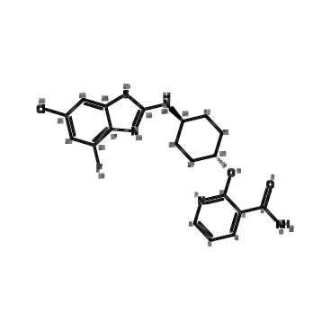 NC(=O)c1cccnc1O[C@H]1CC[C@H](Nc2nc3c(F)cc(Cl)cc3s2)CC1